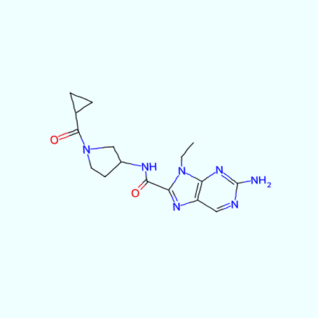 CCn1c(C(=O)NC2CCN(C(=O)C3CC3)C2)nc2cnc(N)nc21